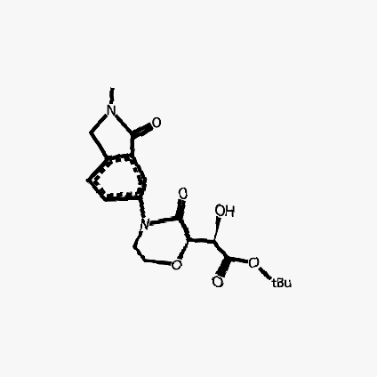 CN1Cc2ccc(N3CCO[C@H]([C@@H](O)C(=O)OC(C)(C)C)C3=O)cc2C1=O